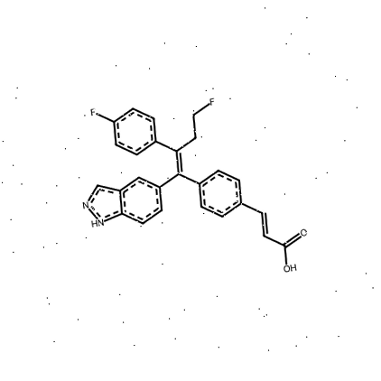 O=C(O)C=Cc1ccc(C(=C(CCF)c2ccc(F)cc2)c2ccc3[nH]ncc3c2)cc1